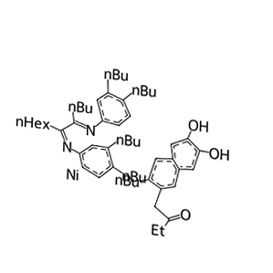 CCCCCCC(=Nc1ccc(CCCC)c(CCCC)c1)C(CCCC)=Nc1ccc(CCCC)c(CCCC)c1.CCCCc1cc2cc(O)c(O)cc2cc1CC(=O)CC.[Ni]